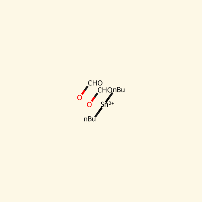 CCC[CH2][Sn+2][CH2]CCC.O=C[O-].O=C[O-]